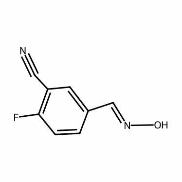 N#Cc1cc(C=NO)ccc1F